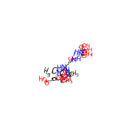 C=C(/C=C\C(=C/C)CCC(=O)NCCCCCC(=O)NCCCC[C@H](NC(=O)N[C@@H](CCC(=O)O)C(=O)O)C(=O)O)C(O)C1(CC(=O)CNCC)Oc2ccc(CCC(=O)O)cc2CC1(CC)C(=O)O